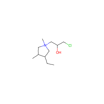 CCC1C[N+](C)(CC(O)CCl)CC1C